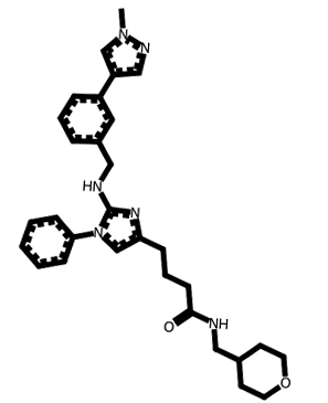 Cn1cc(-c2cccc(CNc3nc(CCCC(=O)NCC4CCOCC4)cn3-c3ccccc3)c2)cn1